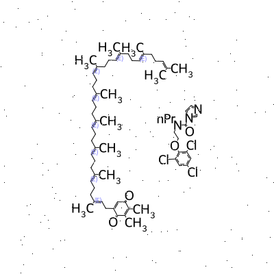 CC(C)=CCC/C(C)=C/CC/C(C)=C/CC/C(C)=C\CC/C(C)=C/CC/C(C)=C/CC/C(C)=C/CC/C(C)=C/CC/C(C)=C/CC1=CC(=O)C(C)=C(C)C1=O.CCCN(CCOc1c(Cl)cc(Cl)cc1Cl)C(=O)n1ccnc1